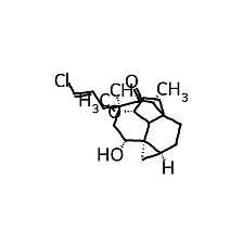 CO[C@@H]1CCC23CC[C@H]4C[C@@]4(C12)[C@H](O)C[C@@](C)(CC=CCl)C(=O)[C@@H]3C